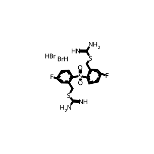 Br.Br.N=C(N)SCc1cc(F)ccc1S(=O)(=O)c1ccc(F)cc1CSC(=N)N